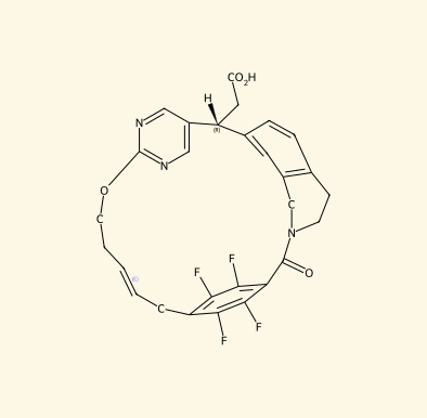 O=C(O)C[C@H]1c2cnc(nc2)OCC/C=C/Cc2c(F)c(F)c(c(F)c2F)C(=O)N2CCc3ccc1cc3C2